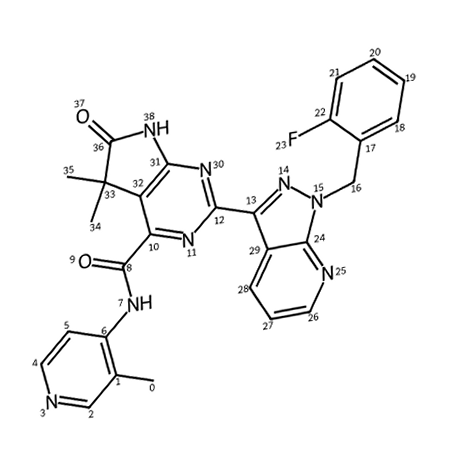 Cc1cnccc1NC(=O)c1nc(-c2nn(Cc3ccccc3F)c3ncccc23)nc2c1C(C)(C)C(=O)N2